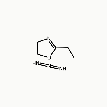 CCC1=NCCO1.N=[N+]=N